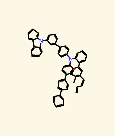 C=C/C=C\c1cc(-c2ccccc2N(c2ccc(-c3ccc(-c4ccccc4)cc3)cc2)c2ccc(-c3cccc(-n4c5ccccc5c5ccccc54)c3)cc2)ccc1C